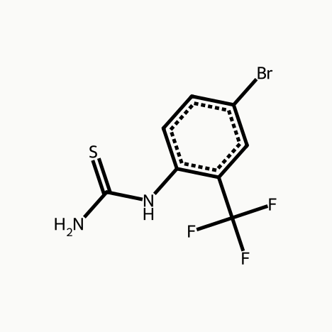 NC(=S)Nc1ccc(Br)cc1C(F)(F)F